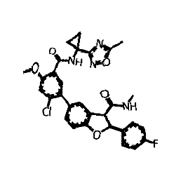 CNC(=O)C1c2cc(-c3cc(C(=O)NC4(c5noc(C)n5)CC4)c(OC)cc3Cl)ccc2OC1c1ccc(F)cc1